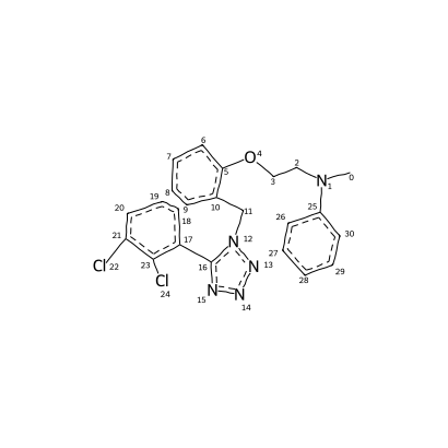 CN(CCOc1ccccc1Cn1nnnc1-c1cccc(Cl)c1Cl)c1ccccc1